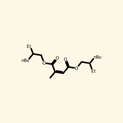 CCCCC(CC)COC(=O)/C=C(/C)C(=O)OCC(CC)CCCC